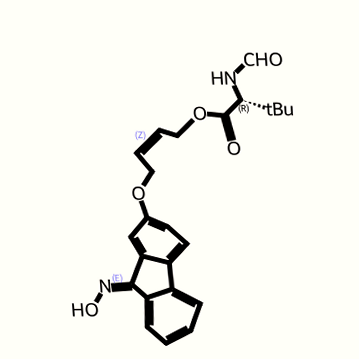 CC(C)(C)[C@@H](NC=O)C(=O)OC/C=C\COc1ccc2c(c1)/C(=N/O)c1ccccc1-2